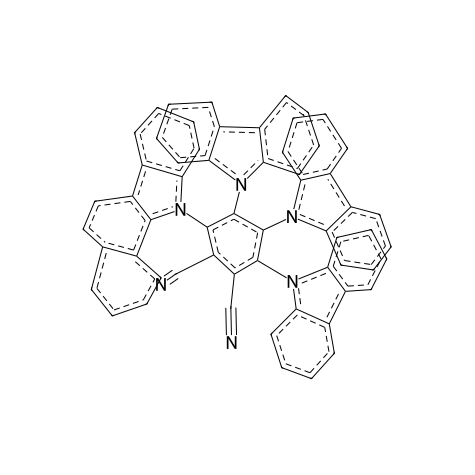 N#Cc1c(C#N)c(-n2c3ccccc3c3ccc4ccccc4c32)c(-n2c3ccccc3c3ccccc32)c(-n2c3ccccc3c3ccccc32)c1-n1c2ccccc2c2ccccc21